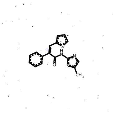 Cc1cnc(NC(=O)/C(=C\c2cccs2)c2ccccc2)s1